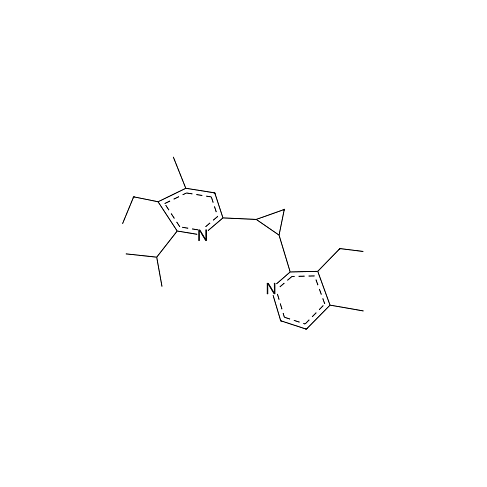 CCc1c(C)cc(C2CC2c2nccc(C)c2CC)nc1C(C)C